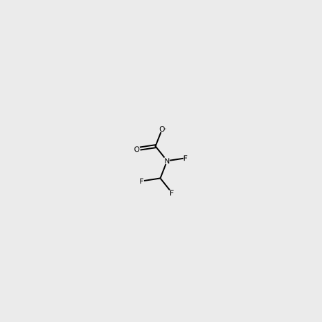 [O]C(=O)N(F)C(F)F